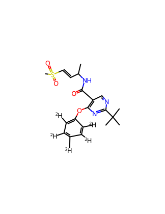 [2H]c1c([2H])c([2H])c(Oc2nc(C(C)(C)C)ncc2C(=O)NC(C)C=CS(C)(=O)=O)c([2H])c1[2H]